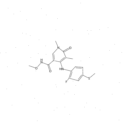 CONC(=O)c1cn(C)c(=O)c(C)c1Nc1ccc(SC)cc1F